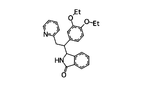 CCOc1ccc(C(Cc2ccccn2)C2NC(=O)c3ccccc32)cc1OCC